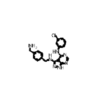 NCc1ccc(CNc2n[nH]c3ncnc(Nc4cccc(Cl)c4)c23)cc1